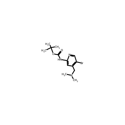 CN(C)Cc1cc(NC(=O)OC(C)(C)C)ncc1Br